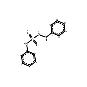 O=S(=O)(Nc1ccccc1)ONc1ccccc1